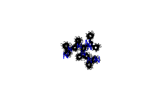 c1ccc(-c2cc(-c3ccccc3)nc(-c3cc(-n4c5ccccc5c5cc(-n6c7ccccc7c7cnccc76)ccc54)cc(-n4c5ccccc5c5cc(-n6c7ccccc7c7cnccc76)ccc54)c3)n2)cc1